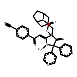 COC(=O)N1C2CCC1CC(CN1C(=O)C(c3ccncc3)(c3ccncc3)N(C)C1=CC(=O)c1ccc(C#N)cc1)C2